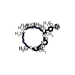 CC[C@H]1C[C@@H]2CCC(C)C(O)(O2)C(=O)C(=O)N2CCCCC2C(=O)O[C@H]([C@H](C)CC2CCC(n3cnnn3)C(OC)C2)CC(=O)[C@H](C)/C=C(\C)[C@@H](O)C(OC)C(=O)C(C)C[C@H](C)/C=C/C=C/C=C/1C